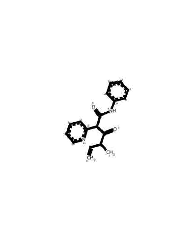 C=CC(C)C(=O)C(C(=O)Nc1ccccc1)c1ccccn1